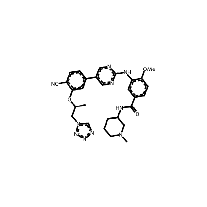 COc1ccc(C(=O)NC2CCCN(C)C2)cc1Nc1ncc(-c2ccc(C#N)c(O[C@@H](C)Cn3cnnn3)c2)cn1